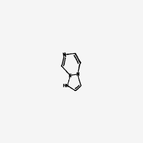 C1=CN2C=CNN2C=N1